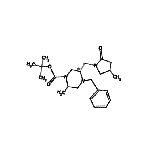 CC1CC(=O)N(C[C@H]2CN(C(=O)OC(C)(C)C)C(C)CN2Cc2ccccc2)C1